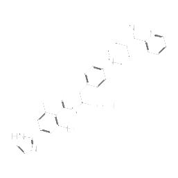 CCc1cc(-c2ncc[nH]2)cc(C)c1C(=O)NC(Cc1ccc(N2CCC(C(N)c3ccccn3)CC2)cc1)C(=O)O